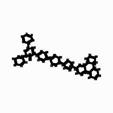 C1=C(c2ccccc2)N=C(c2ccc(-c3ccc(-c4ccc(-c5ccc6c7ccccc7c7ccccc7c6c5)cc4)cc3)cc2)NC1c1ccccc1